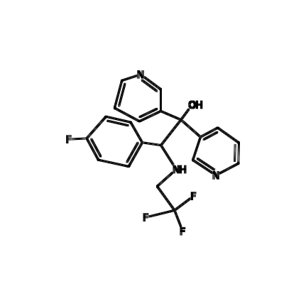 OC(c1cccnc1)(c1cccnc1)C(NCC(F)(F)F)c1ccc(F)cc1